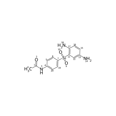 CC(=O)Nc1ccc(S(=O)(=O)c2cc(N)ccc2N)cc1